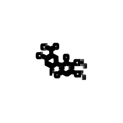 Cn1c(C(F)(F)F)cc(=O)n(-c2cc(C(=O)Cl)c(Cl)cc2F)c1=O